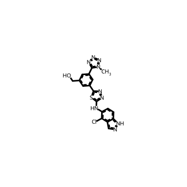 Cn1nnnc1-c1cc(CO)cc(-c2nnc(Nc3ccc4[nH]ncc4c3Cl)s2)c1